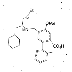 CCSCC(CC1CCCCC1)NCc1cc(-c2ccccc2C)c(C(=O)O)cc1OC